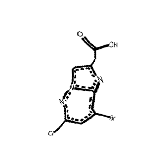 O=C(O)c1cn2nc(Cl)cc(Br)c2n1